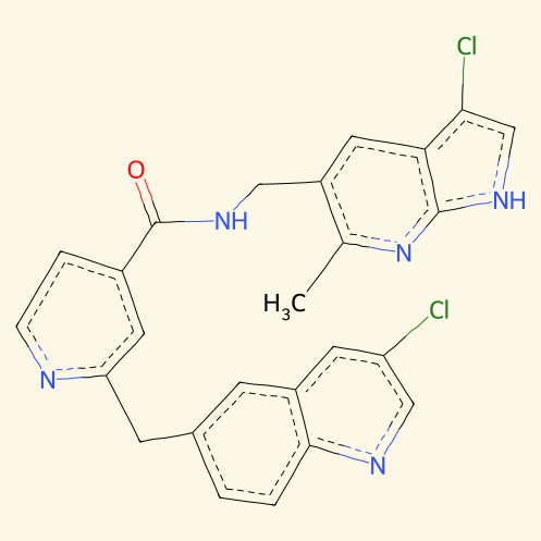 Cc1nc2[nH]cc(Cl)c2cc1CNC(=O)c1ccnc(Cc2ccc3ncc(Cl)cc3c2)c1